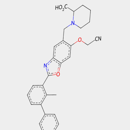 Cc1c(-c2ccccc2)cccc1-c1nc2cc(CN3CCCCC3C(=O)O)c(OCC#N)cc2o1